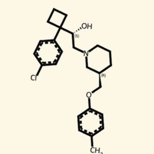 Cc1ccc(OC[C@@H]2CCCN(C[C@@H](O)C3(c4ccc(Cl)cc4)CCC3)C2)cc1